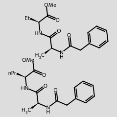 CCC[C@H](NC(=O)[C@H](C)NC(=O)Cc1ccccc1)C(=O)OC.CC[C@H](NC(=O)[C@H](C)NC(=O)Cc1ccccc1)C(=O)OC